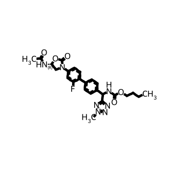 CCCCOC(=O)NC(c1ccc(-c2ccc(N3C[C@H](NC(C)=O)OC3=O)cc2F)cc1)c1nnn(C)n1